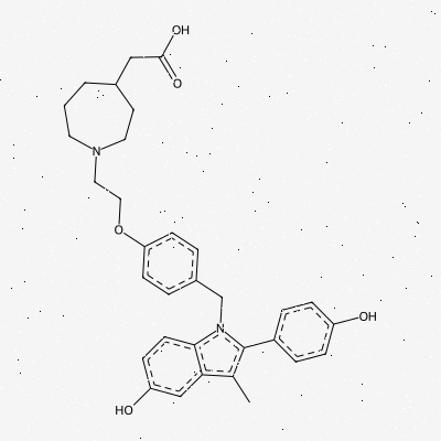 Cc1c(-c2ccc(O)cc2)n(Cc2ccc(OCCN3CCCC(CC(=O)O)CC3)cc2)c2ccc(O)cc12